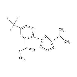 COC(=O)c1cc(C(F)(F)F)ccc1-c1cccc(C(C)C)c1